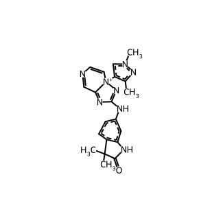 Cc1nn(C)cc1[N+]12C=CN=CC1=NC(Nc1ccc3c(c1)NC(=O)C3(C)C)=N2